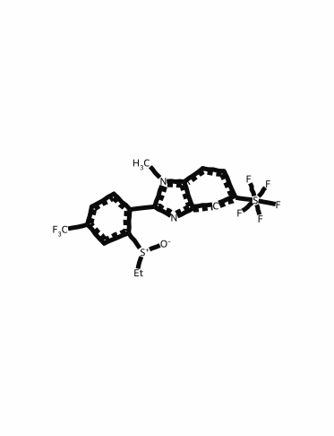 CC[S+]([O-])c1cc(C(F)(F)F)ccc1-c1nc2cc(S(F)(F)(F)(F)F)ccc2n1C